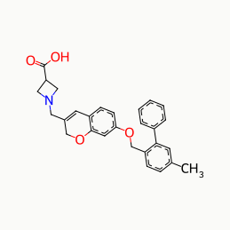 Cc1ccc(COc2ccc3c(c2)OCC(CN2CC(C(=O)O)C2)=C3)c(-c2ccccc2)c1